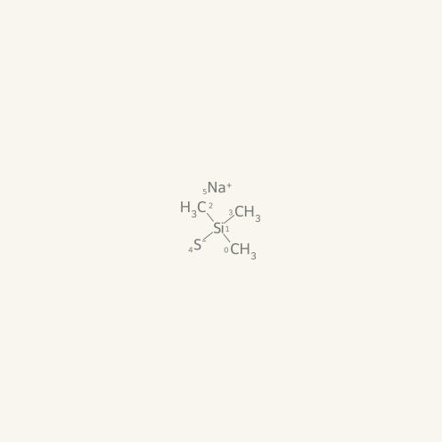 C[Si](C)(C)[S-].[Na+]